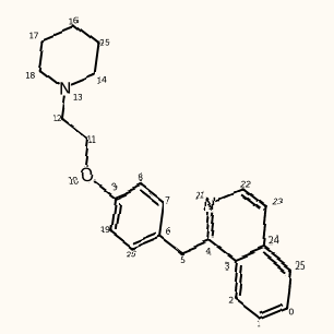 c1ccc2c(Cc3ccc(OCCN4CCCCC4)cc3)nccc2c1